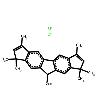 CC1=CC(C)(C)c2cc3c(cc21)-c1cc2c(cc1[CH]3[Zr+2])C(C)(C)C=C2C.[Cl-].[Cl-]